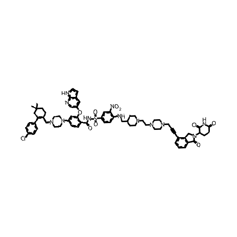 CC1(C)CCC(CN2CCN(c3ccc(C(=O)NS(=O)(=O)c4ccc(NCC5CCN(CCN6CCN(CC#Cc7cccc8c7CN(C7CCC(=O)NC7=O)C8=O)CC6)CC5)c([N+](=O)[O-])c4)c(Oc4cnc5[nH]ccc5c4)c3)CC2)=C(c2ccc(Cl)cc2)C1